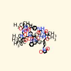 CC[C@H](C)[C@@H]([C@@H](CC(=O)N1CCC[C@H]1[C@H](OC)[C@@H](C)C(=O)N[C@H](C)Cc1ccccc1)OC)N(C)C(=O)CNC(=O)C(C(C)C)N(C)C(=O)OCc1ccc(NC(=O)CNC(=O)C(NC(=O)CCCCCN2C(=O)C=CC2=O)C(C)C)cc1